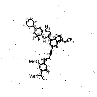 CNC(=O)c1cc(OC)c(NCC#Cc2cc(C(=O)N[C@@H]3[C@@H](C)CN(C4CCOCC4)CC3(F)F)c3ncn(CC(F)(F)F)c3c2)cc1F